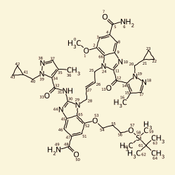 COc1cc(C(N)=O)cc2nc(C(=O)c3c(C)cnn3CC3CC3)n(C/C=C/Cn3c(NC(=O)c4c(C)cnn4CC4CC4)nc4cc(C(N)=O)cc(OCCCO[Si](C)(C)C(C)(C)C)c43)c12